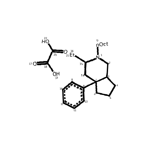 CCCCCCCCN1CC2CCCC2(c2ccccc2)CC1CC.O=C(O)C(=O)O